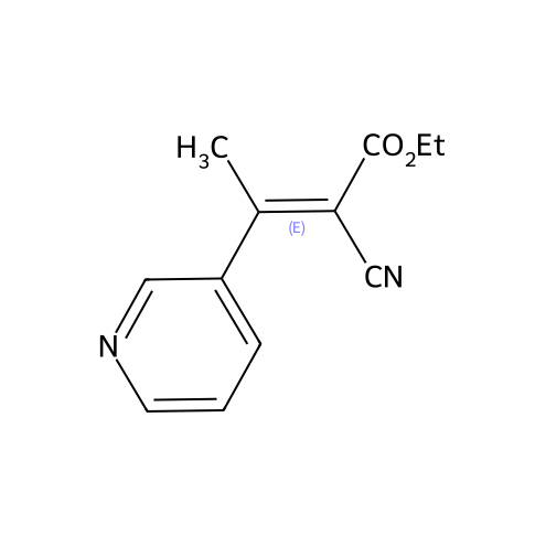 CCOC(=O)/C(C#N)=C(\C)c1cccnc1